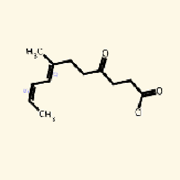 C/C=C\C=C(/C)CCC(=O)CCC(=O)Cl